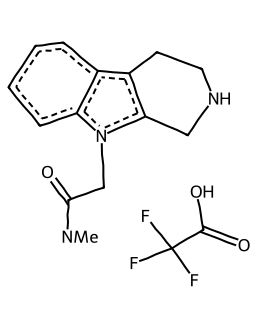 CNC(=O)Cn1c2c(c3ccccc31)CCNC2.O=C(O)C(F)(F)F